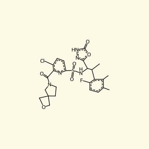 Cc1ccc(F)c(C(C)C(NS(=O)(=O)c2ccc(Cl)c(C(=O)N3CCC4(COC4)C3)n2)c2n[nH]c(=O)o2)c1C